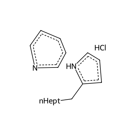 CCCCCCCCc1ccc[nH]1.Cl.c1ccncc1